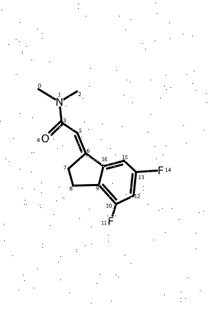 CN(C)C(=O)C=C1CCc2c(F)cc(F)cc21